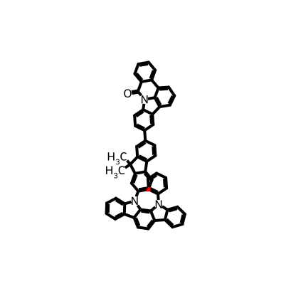 CC1(C)c2cc(-c3ccc4c(c3)c3cccc5c6ccccc6c(=O)n4c53)ccc2-c2ccc(-n3c4ccccc4c4ccc5c6ccccc6n(-c6ccccc6)c5c43)cc21